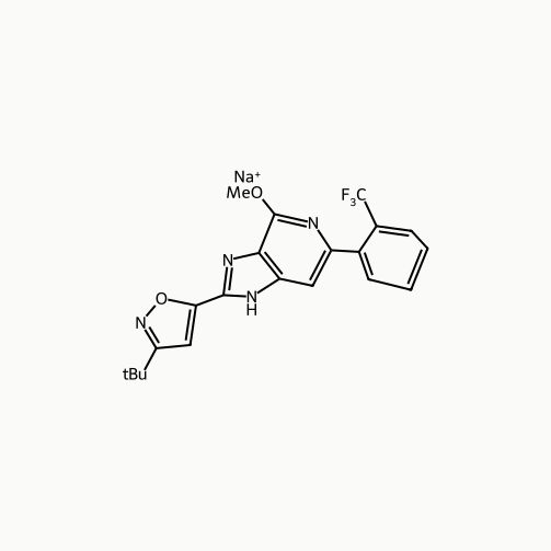 COc1nc(-c2ccccc2C(F)(F)F)cc2[nH]c(-c3cc(C(C)(C)C)no3)nc12.[Na+]